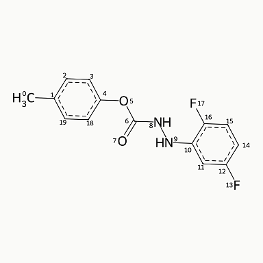 Cc1ccc(OC(=O)NNc2cc(F)ccc2F)cc1